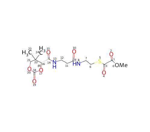 COC(=O)C(=O)SCCNC(=O)CCNC(=O)[C@@H]1OC(=O)OCC1(C)C